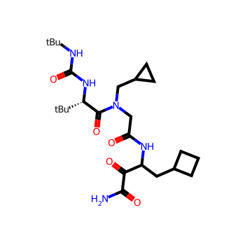 CC(C)(C)NC(=O)N[C@H](C(=O)N(CC(=O)NC(CC1CCC1)C(=O)C(N)=O)CC1CC1)C(C)(C)C